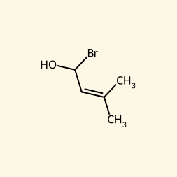 CC(C)=CC(O)Br